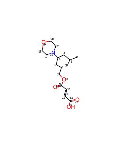 CC(C)CC(CCCOC(=O)/C=C/C(=O)O)N1CCOCC1